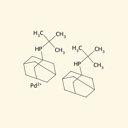 CC(C)(C)PC12CC3CC(CC(C3)C1)C2.CC(C)(C)PC12CC3CC(CC(C3)C1)C2.[Pd+2]